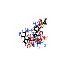 Nc1cncc(-c2ccn(S(N)(=O)=O)c2C(=O)Oc2cc(-c3ccc(NS(=O)(=O)C4CC4)cc3)c(C(=O)O)n2S(N)(=O)=O)c1